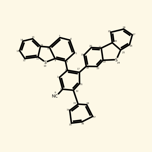 N#Cc1cc(-c2cccc3c2sc2ccccc23)c(-c2ccc3c(c2)sc2ccccc23)cc1-c1ccccc1